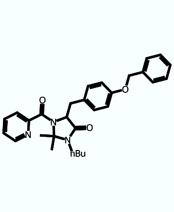 CCCCN1C(=O)C(Cc2ccc(OCc3ccccc3)cc2)N(C(=O)c2ccccn2)C1(C)C